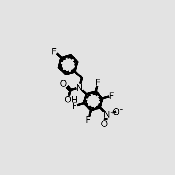 O=C(O)N(Cc1ccc(F)cc1)c1c(F)c(F)c([N+](=O)[O-])c(F)c1F